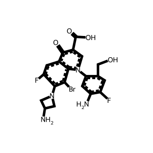 Nc1cc(-n2cc(C(=O)O)c(=O)c3cc(F)c(N4CC(N)C4)c(Br)c32)c(CO)cc1F